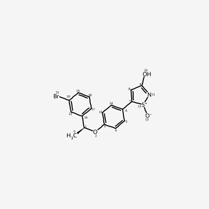 C[C@H](Oc1ccc(-c2cc(O)n[s+]2[O-])cc1)c1cccc(Br)c1